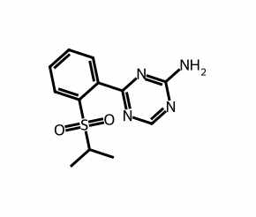 CC(C)S(=O)(=O)c1ccccc1-c1ncnc(N)n1